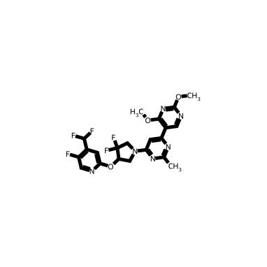 COc1ncc(-c2cc(N3CC(Oc4cc(C(F)F)c(F)cn4)C(F)(F)C3)nc(C)n2)c(OC)n1